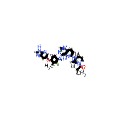 C=CC(=O)N1CC[C@@H]2C[C@H]1CN2c1ccc2ncnc(Nc3ccc(Oc4cnc5[nH]cnc5c4)c(C)c3F)c2n1